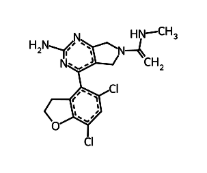 C=C(NC)N1Cc2nc(N)nc(-c3c(Cl)cc(Cl)c4c3CCO4)c2C1